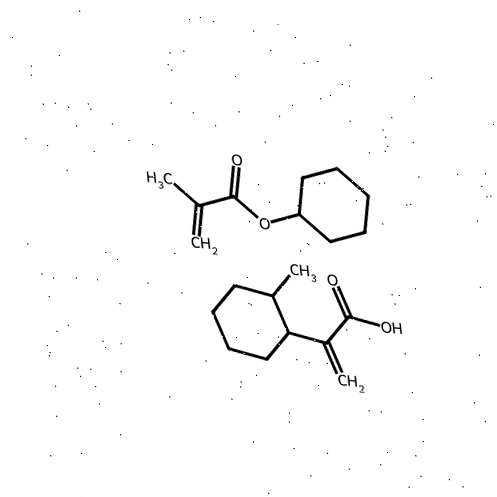 C=C(C(=O)O)C1CCCCC1C.C=C(C)C(=O)OC1CCCCC1